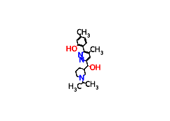 Cc1ccc(-c2nnc([C@H](O)[C@@H]3CCCN(C(C)C)C3)cc2C)c(O)c1